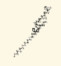 CCCCCCCCCCCCCCCCCC(=O)OC(CCCCCC)CC(C)(C)CCCCCCCCC(C)=O